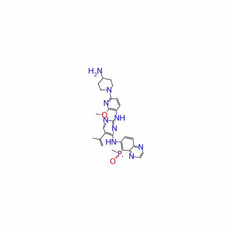 C=C(C)c1cnc(Nc2ccc(N3CCC(N)CC3)nc2OC)nc1Nc1ccc2nccnc2c1P(C)(C)=O